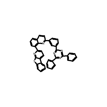 c1ccc(-c2nc(-c3ccccc3)nc(-c3cccc(-c4ccc5cccc(-c6ccc7c(n6)sc6ccccc67)c5n4)c3)n2)cc1